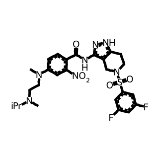 CC(C)N(C)CCN(C)c1ccc(C(=O)Nc2n[nH]c3c2CN(S(=O)(=O)c2cc(F)cc(F)c2)CC3)c([N+](=O)[O-])c1